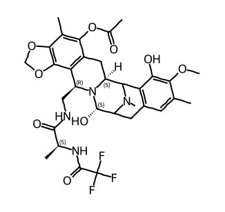 COc1c(C)cc2c(c1O)C1[C@@H]3Cc4c(OC(C)=O)c(C)c5c(c4[C@H](CNC(=O)[C@H](C)NC(=O)C(F)(F)F)N3[C@@H](O)C(C2)N1C)OCO5